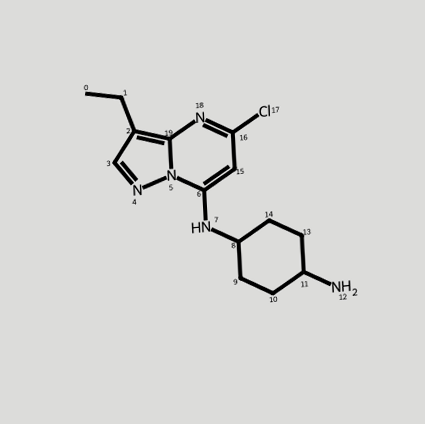 CCc1cnn2c(NC3CCC(N)CC3)cc(Cl)nc12